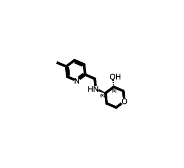 Cc1ccc(CN[C@@H]2CCOC[C@H]2O)nc1